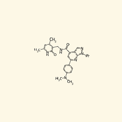 Cc1cc(C)c(CNC(=O)c2cc(-c3ccc(N(C)C)cc3)nc3c2cnn3C(C)C)c(=O)[nH]1